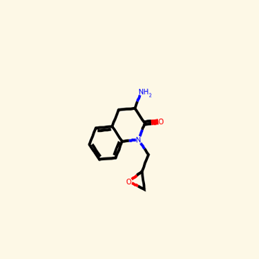 NC1Cc2ccccc2N(CC2CO2)C1=O